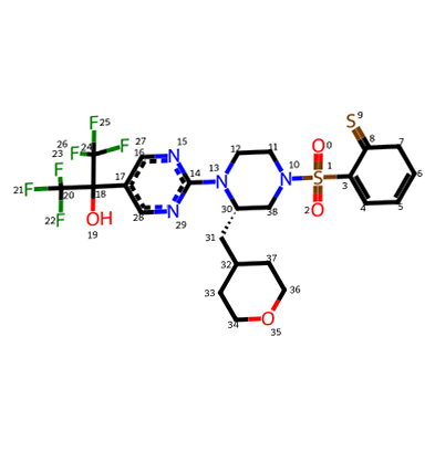 O=S(=O)(C1=CC=CCC1=S)N1CCN(c2ncc(C(O)(C(F)(F)F)C(F)(F)F)cn2)[C@@H](CC2CCOCC2)C1